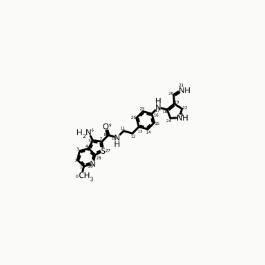 Cc1ccc2c(N)c(C(=O)NCCc3ccc(NC4=C(C=N)CNC4)cc3)sc2n1